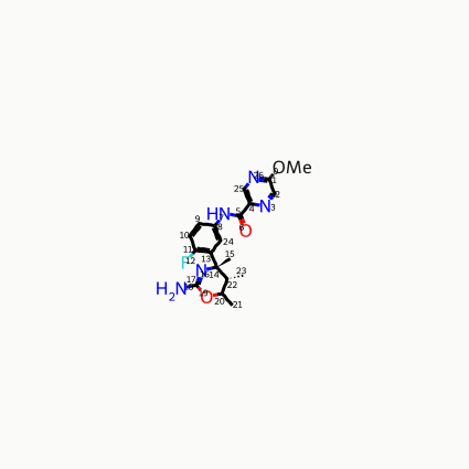 COc1cnc(C(=O)Nc2ccc(F)c([C@@]3(C)N=C(N)OC(C)[C@H]3C)c2)cn1